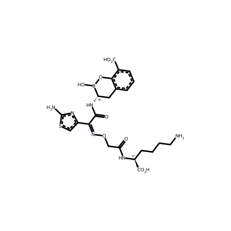 NCCCC[C@H](NC(=O)CO/N=C(\C(=O)N[C@H]1Cc2cccc(C(=O)O)c2OB1O)c1csc(N)n1)C(=O)O